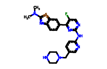 CN(C)c1nc2ccc(-c3nc(Nc4ccc(CN5CCNCC5)cn4)ncc3F)cc2s1